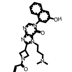 C=CC(=O)N1CC(c2nc3ncn(-c4cc(O)cc5ccccc45)c(=O)c3n2CCCN(C)C)C1